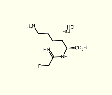 Cl.Cl.N=C(CF)N[C@@H](CCCCN)C(=O)O